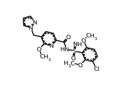 COc1ccc(Cl)c(OC)c1S(=N)(=O)NC(=O)c1ccc(Cn2cccn2)c(OC)n1